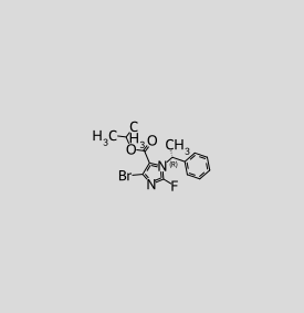 CC(C)OC(=O)c1c(Br)nc(F)n1[C@H](C)c1ccccc1